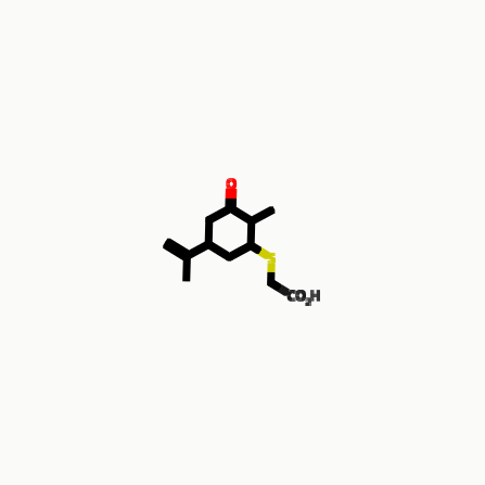 C=C(C)C1CC(=O)C(C)C(SCC(=O)O)C1